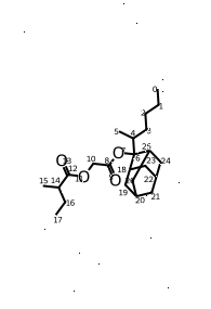 CCCCC(C)C1(OC(=O)COC(=O)C(C)CC)C2CC3CC(C2)CC1C3